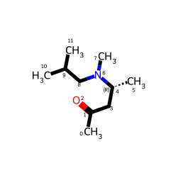 CC(=O)C[C@@H](C)N(C)CC(C)C